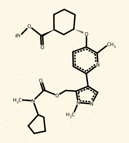 Cc1nc(-c2cnn(C)c2COC(=O)N(C)C2CCCC2)ccc1O[C@H]1CCC[C@H](C(=O)OC(C)C)C1